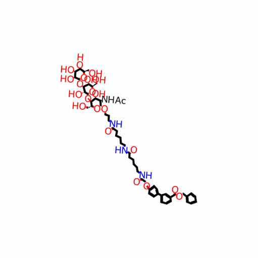 CC(=O)N[C@H]1[C@H](OCCCNC(=O)CCCCCNC(=O)CCCCCNC(=O)COc2ccc(-c3cccc(C(=O)OCc4ccccc4)c3)cc2)O[C@H](CO)[C@@H](O[C@@H]2O[C@H](CO)[C@H](O)[C@H](O[C@H]3O[C@H](CO)[C@H](O)[C@H](O)[C@H]3O)[C@H]2O)[C@@H]1O